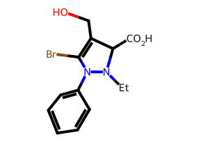 CCN1C(C(=O)O)C(CO)=C(Br)N1c1ccccc1